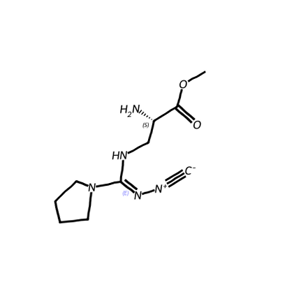 [C-]#[N+]/N=C(\NC[C@H](N)C(=O)OC)N1CCCC1